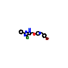 Clc1nc(-c2ccccc2)nc2[nH]c(COC3CCN(Cc4ccc(Br)cc4)CC3)cc12